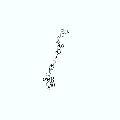 CC1(C)[C@H](Oc2ccc(C#N)c(Cl)c2)C(C)(C)[C@H]1N1Cc2nc(C#C[C@H]3C[C@H](N4CCN(c5ccc6c(c5)C(=O)N(C5CCC(=O)NC5=O)C6=O)CC4)C3)ccc2C1=O